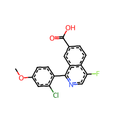 COc1ccc(-c2ncc(F)c3ccc(C(=O)O)cc23)c(Cl)c1